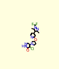 Cc1nn(C(F)F)c(C)c1-c1ccnc(O[C@@H]2CCN(c3cn[nH]c(=O)c3Cl)C2)c1